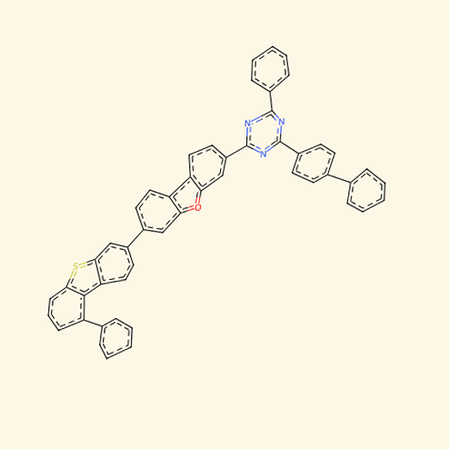 c1ccc(-c2ccc(-c3nc(-c4ccccc4)nc(-c4ccc5c(c4)oc4cc(-c6ccc7c(c6)sc6cccc(-c8ccccc8)c67)ccc45)n3)cc2)cc1